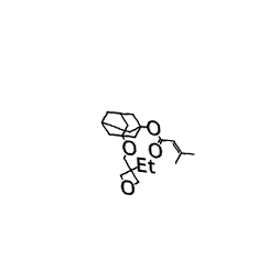 CCC1(COC23CC4CC(C2)CC(OC(=O)C=C(C)C)(C4)C3)COC1